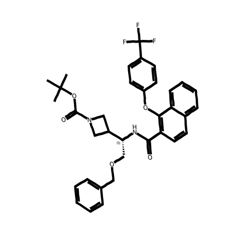 CC(C)(C)OC(=O)N1CC([C@@H](COCc2ccccc2)NC(=O)c2ccc3ccccc3c2Oc2ccc(C(F)(F)F)cc2)C1